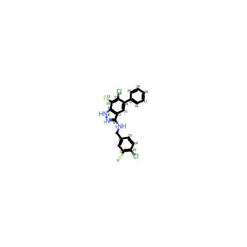 Fc1cc(CNc2n[nH]c3c(F)c(Cl)c(-c4ccccc4)cc23)ccc1Cl